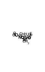 COc1cc2nc(C3CCS(=O)(=O)CC3)n(C)c2cc1NC(=O)c1cccc(C(F)(F)F)n1